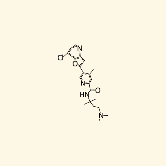 Cc1cc(C(=O)NC(C)(C)CCN(C)C)ncc1-c1cc2nccc(Cl)c2o1